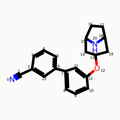 N#Cc1cccc(-c2cccc(OC3CC4CCC(C3)N4)c2)c1